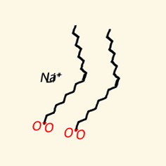 CCCCCCCC/C=C\CCCCCCCC(=O)[O-].CCCCCCCC/C=C\CCCCCCCC(=O)[O-].[Li+].[Na+]